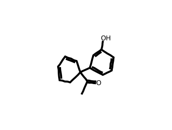 CC(=O)C1(c2cccc(O)c2)C=CC=CC1